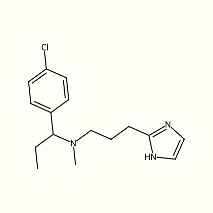 CCC(c1ccc(Cl)cc1)N(C)CCCc1ncc[nH]1